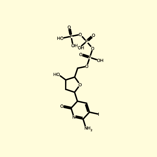 NC1=NC(=O)C(C2CC(O)C(COP(=O)(O)OP(=O)(O)OP(=O)(O)O)O2)C=C1I